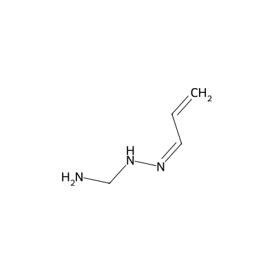 C=C/C=N\NCN